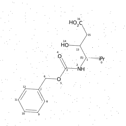 CC(C)[C@H](NC(=O)OCc1ccccc1)C(O)CC(=O)O